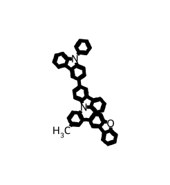 Cc1ccc(-n2c3ccccc3c3cc(-c4ccc5c(c4)c4ccccc4n5-c4ccccc4)ccc32)c(-c2ccc3oc4ccccc4c3c2)c1